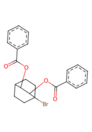 O=C(OC1C2CCC(Br)(CC2)C1OC(=O)c1ccccc1)c1ccccc1